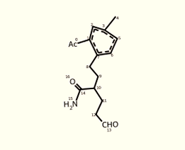 CC(=O)c1cc(C)ccc1CCC(CCC=O)C(N)=O